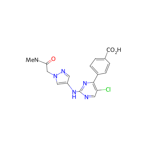 CNC(=O)Cn1cc(Nc2ncc(Cl)c(-c3ccc(C(=O)O)cc3)n2)cn1